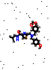 COc1ccc(CN(Cc2ccc3c(c2)OCO3)Cc2nc(C(=O)NCC(C)C)cs2)cc1